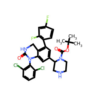 CC(C)(C)OC(=O)N1CCNCC1c1cc(-c2ccc(F)cc2F)c2c(c1)N(c1c(Cl)cccc1Cl)C(=O)NC2